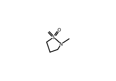 C=S1(=O)CCCN1C